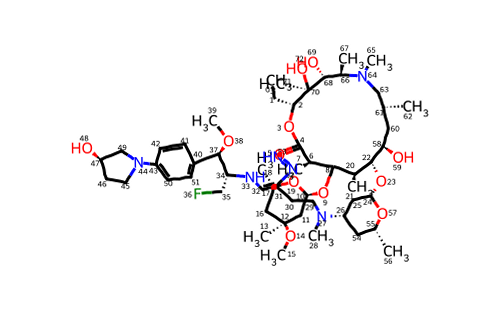 CC[C@H]1OC(=O)[C@H](C)C(O[C@H]2C[C@@](C)(OC)C[C@H](C)O2)[C@H](C)[C@@H](O[C@H]2C[C@@H](N(C)CC/C(=C/N[C@H](CF)[C@H](OC)c3ccc(N4CC[C@@H](O)C4)cc3)N=N)C[C@@H](C)O2)[C@H](O)C[C@@H](C)CN(C)[C@H](C)[C@@H](O)[C@]1(C)O